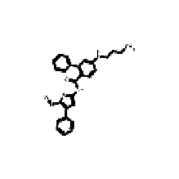 CCCCNc1ccc(C(=O)Nc2cc(-c3ccccc3)c(N=O)s2)c(-c2ccccc2)c1